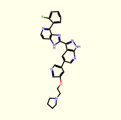 Fc1ccccc1-c1nccc2[nH]c(-c3n[nH]c4ncc(-c5cncc(OCCN6CCCC6)c5)cc34)nc12